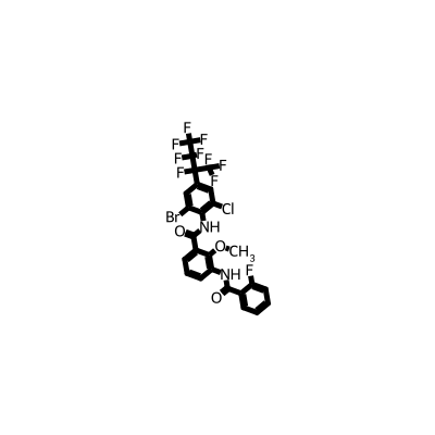 COc1c(NC(=O)c2ccccc2F)cccc1C(=O)Nc1c(Cl)cc(C(F)(C(F)(F)F)C(F)(F)C(F)(F)F)cc1Br